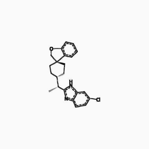 C[C@@H](c1nc2ccc(Cl)cc2[nH]1)[C@H]1CC[C@@]2(CC1)COc1ccccc12